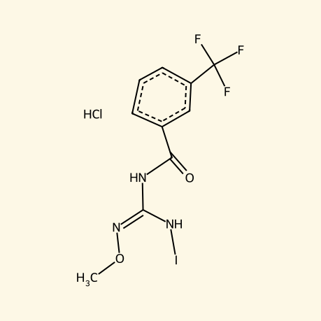 CON=C(NI)NC(=O)c1cccc(C(F)(F)F)c1.Cl